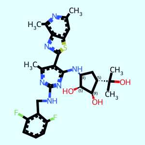 Cc1cc2sc(-c3c(C)nc(NCc4c(F)cccc4F)nc3N[C@@H]3C[C@H](C(C)(C)O)[C@@H](O)[C@H]3O)nc2c(C)n1